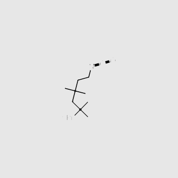 CCCC(C)(C)CC(C)(C)CCN=C=O